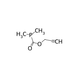 C#CCOC(=O)P(C)C